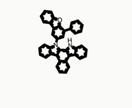 c1ccc(-c2cc(-n3c4ccccc4c4c5ccccc5c5c6ccccc6[nH]c5c43)cc3c2oc2ccccc23)cc1